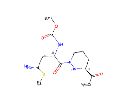 CCSC(=N)C[C@H](NC(=O)OC(C)(C)C)C(=O)N1CCC[C@@H](C(=O)OC)N1